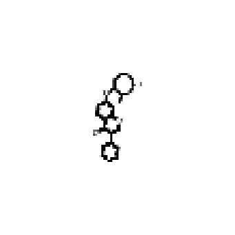 CC1CNCCCC1Oc1ccc2c(=O)c(-c3ccccc3)coc2c1